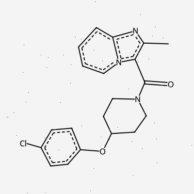 Cc1nc2ccccn2c1C(=O)N1CCC(Oc2ccc(Cl)cc2)CC1